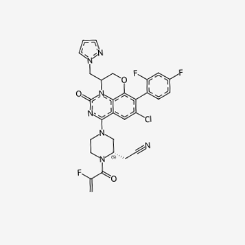 C=C(F)C(=O)N1CCN(c2nc(=O)n3c4c(c(-c5ccc(F)cc5F)c(Cl)cc24)OCC3Cn2cccn2)C[C@@H]1CC#N